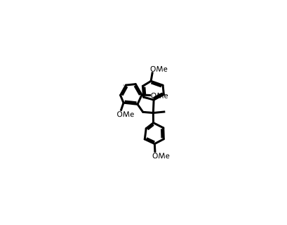 COc1ccc(C(C)(Cc2c(OC)c[c]cc2OC)c2ccc(OC)cc2)cc1